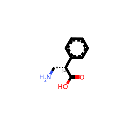 NC[C@@H](C(=O)O)c1ccccc1